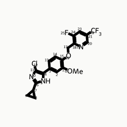 COc1cc(-c2[nH]c(C3CC3)nc2Cl)ccc1OCc1ncc(C(F)(F)F)cc1F